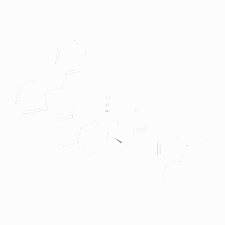 CO[C@@]1(N=Cc2cc(C(C)(C)C)c(O)c(C(C)(C)C)c2)C(=O)N2C(C(=O)OC(c3ccccc3)c3ccccc3)C(COC(C)=O)=CS[C@H]21